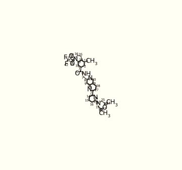 Cc1cc(C(=O)NCc2cc3nc(-c4cccc(N5C[C@@H](C)O[C@@H](C)C5)n4)ccc3cn2)cc2c1CCN2S(=O)(=O)C(F)F